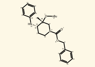 CCCCO[C@]1(C)CN(C(=O)OCc2ccccc2)CC[C@@H]1Nc1ccccc1